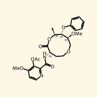 COc1ccnc(C(=O)N[C@H]2CCOC[C@H](OC)[C@@H](Oc3ccccc3)[C@H](C)OC2=O)c1OC(C)=O